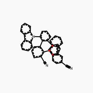 N#Cc1ccc2c(c1)c1ccccc1n2-c1c(C#N)cccc1-c1c(-c2ccccc2)cccc1-n1c2ccccc2c2ccccc21